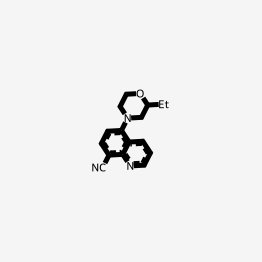 CCC1CN(c2ccc(C#N)c3ncccc23)CCO1